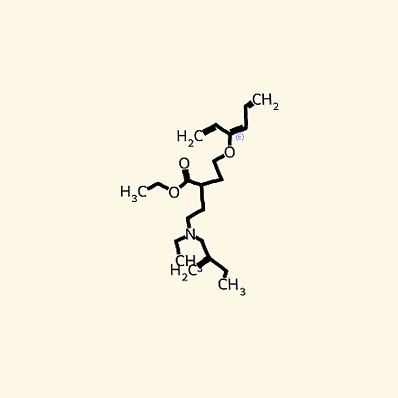 C=C/C=C(\C=C)OCCC(CCN(CC)CC(=C)CC)C(=O)OCC